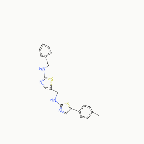 Cc1ccc(-c2cnc(NCc3cnc(NCc4ccccc4)s3)s2)cc1